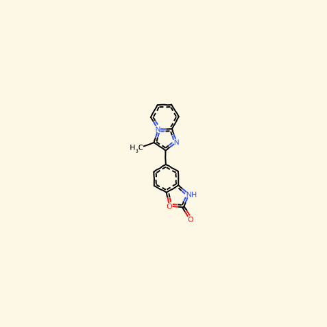 Cc1c(-c2ccc3oc(=O)[nH]c3c2)nc2ccccn12